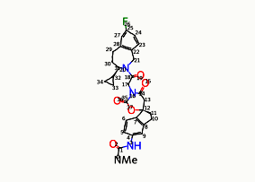 CNC(=O)Nc1ccc2c(c1)CC[C@@]21CC(=O)N(CC(=O)N2Cc3ccc(F)cc3CC[C@@H]2C2CC2)C(=O)O1